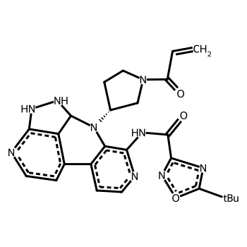 C=CC(=O)N1CC[C@@H](N2c3c(ccnc3NC(=O)c3noc(C(C)(C)C)n3)-c3ccnc4c3C2NN4)C1